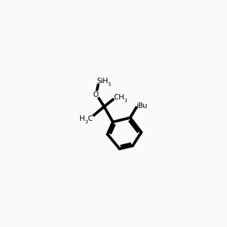 CCC(C)c1ccccc1C(C)(C)O[SiH3]